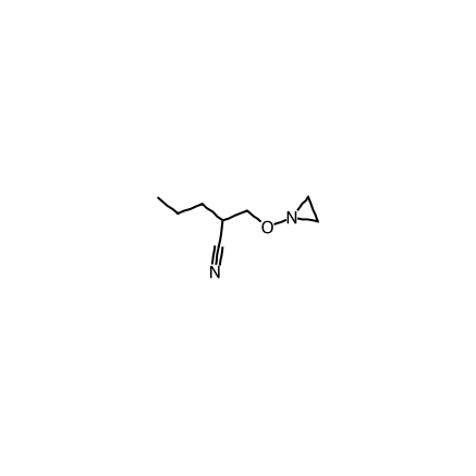 CCCC(C#N)CON1CC1